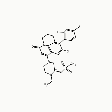 CCN1CCN(c2nc(=O)n3c4c(c(-c5ccc(F)cc5F)c(Cl)cc24)SCC3)C[C@H]1CS(C)(=O)=O